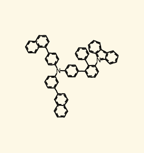 c1ccc(-c2c(-c3ccc(N(c4ccc(-c5cccc6ccccc56)cc4)c4cccc(-c5ccc6ccccc6c5)c4)cc3)cccc2-n2c3ccccc3c3ccccc32)cc1